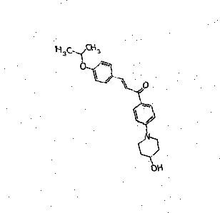 CC(C)Oc1ccc(C=CC(=O)c2ccc(N3CCC(O)CC3)cc2)cc1